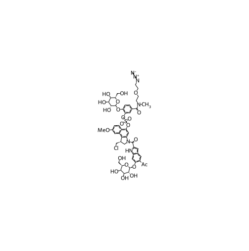 COc1ccc2c(OS(=O)(=O)Oc3cc(C(=O)N(C)CCOCCN=[N+]=[N-])ccc3O[C@@H]3O[C@H](CO)[C@H](O)[C@H](O)[C@H]3O)cc3c(c2c1)[C@H](CCl)CN3C(=O)c1cc2cc(C(C)=O)c(O[C@@H]3O[C@H](CO)[C@H](O)[C@H](O)[C@H]3O)cc2[nH]1